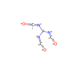 O=C=N[C](N=C=O)N=C=O